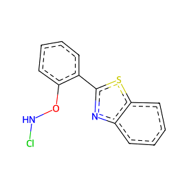 ClNOc1ccccc1-c1nc2ccccc2s1